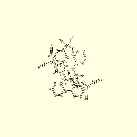 N#CC(C#N)=c1nc2c(-c3ccccc3-c3ccccc3C(F)(F)F)c3oc(=C(C#N)C#N)nc3c(-c3ccccc3-c3ccccc3C(F)(F)F)c2o1